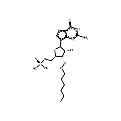 CCCCCCNO[C@H]1[C@@H](O)[C@H](n2cnc3c(=O)[nH]c(N)nc32)O[C@@H]1COP(=O)(O)O